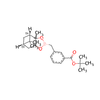 CC(C)(C)OC(=O)c1cccc(CB2OC3C[C@@H]4C[C@@H](C4(C)C)[C@]3(C)O2)c1